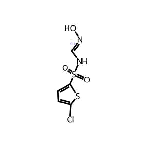 O=S(=O)(N/C=N/O)c1ccc(Cl)s1